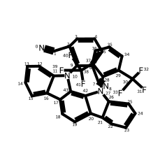 N#Cc1cccc(C#N)c1-n1c2ccccc2c2ccc3c4ccccc4n(-c4c(C(F)(F)F)cccc4C(F)(F)F)c3c21